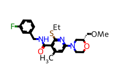 CCSc1nc(N2CCO[C@@H](COC)C2)cc(C)c1C(=O)NCc1cccc(F)c1